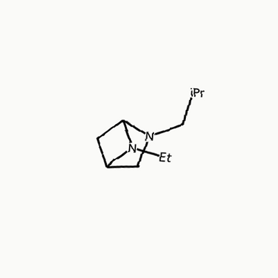 CCN1C2CC1N(CC(C)C)C2